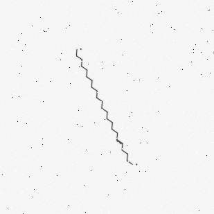 [CH2]CCCC=CCCCCCCCCCCCCCCCC[CH2]